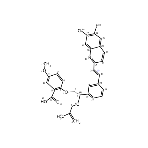 C=C(C)CO[C@H](COc1ccc(OC)cc1C(=O)O)c1cccc(/C=C/c2ccc3cc(F)c(Cl)cc3n2)c1